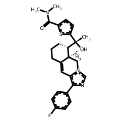 CN(C)C(=O)c1ccc([C@](C)(O)[C@H]2CCCC3=Cc4c(-c5ccc(F)cc5)ncn4C[C@@]32C)s1